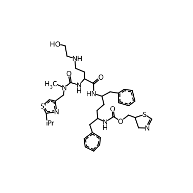 CC(C)c1nc(CN(C)C(=O)NC(CCNCCO)C(=O)NC(CCC(Cc2ccccc2)NC(=O)OCC2CN=CS2)Cc2ccccc2)cs1